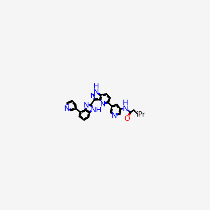 CC(C)CC(=O)Nc1cncc(-c2ccc3[nH]nc(-c4nc5c(-c6cccnc6)cccc5[nH]4)c3n2)c1